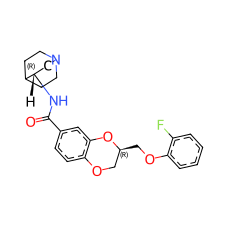 O=C(N[C@H]1CN2CCC1CC2)c1ccc2c(c1)O[C@@H](COc1ccccc1F)CO2